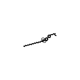 CCCCCCCCCCCCCCCCCCC(=O)Oc1ccc(-c2ccc(CCCC(C)CC)cc2)cc1